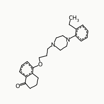 CCc1ccccc1N1CCN(CCCOc2cccc3c2CCCC3=O)CC1